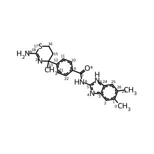 Cc1cc2nc(NC(=O)c3ccc(C4(C)CCSC(N)=N4)cc3)[nH]c2cc1C